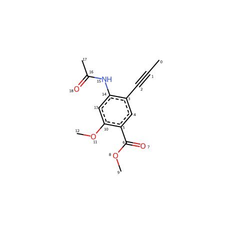 CC#Cc1cc(C(=O)OC)c(OC)cc1NC(C)=O